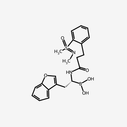 CN=S(C)(=O)c1ccccc1CCC(=O)N[C@@H](Cc1coc2ccccc12)B(O)O